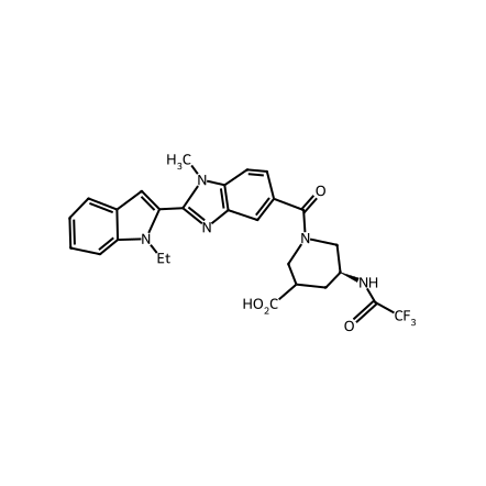 CCn1c(-c2nc3cc(C(=O)N4CC(C(=O)O)C[C@H](NC(=O)C(F)(F)F)C4)ccc3n2C)cc2ccccc21